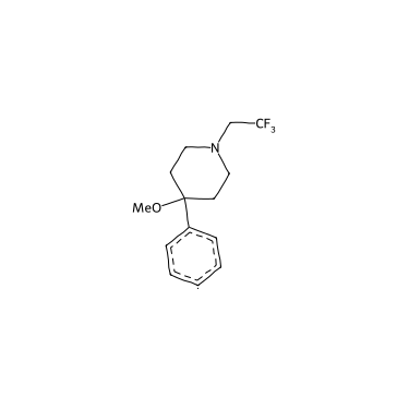 COC1(c2cc[c]cc2)CCN(CC(F)(F)F)CC1